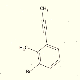 CC#Cc1cccc(Br)c1C